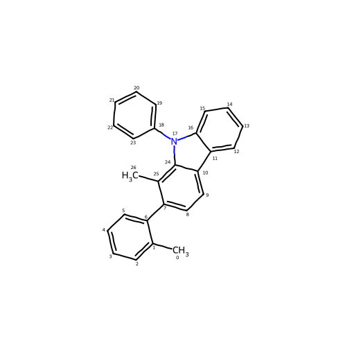 Cc1ccccc1-c1ccc2c3ccccc3n(-c3ccccc3)c2c1C